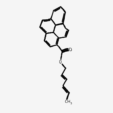 C/C=C/C=C/COC(=O)C1=C2C=CC3=CC=CC4=CC=C(C=C1)C2C34